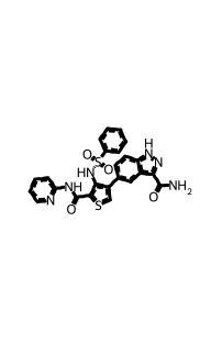 NC(=O)c1n[nH]c2ccc(-c3csc(C(=O)Nc4ccccn4)c3NS(=O)(=O)c3ccccc3)cc12